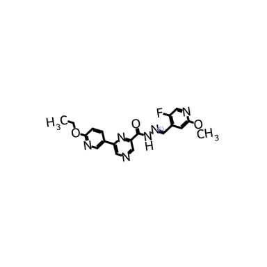 CCOc1ccc(-c2cncc(C(=O)N/N=C/c3cc(OC)ncc3F)n2)cn1